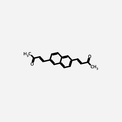 CC(=O)/C=C/c1ccc2cc(/C=C/C(C)=O)ccc2c1